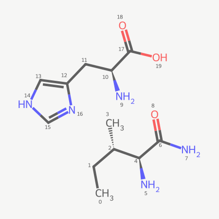 CC[C@H](C)[C@H](N)C(N)=O.N[C@@H](Cc1c[nH]cn1)C(=O)O